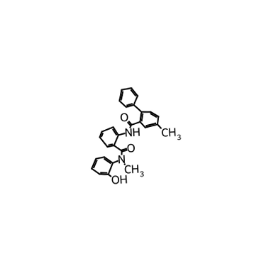 Cc1ccc(-c2ccccc2)c(C(=O)Nc2ccccc2C(=O)N(C)c2ccccc2O)c1